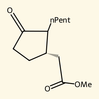 CCCCCC1C(=O)CC[C@H]1CC(=O)OC